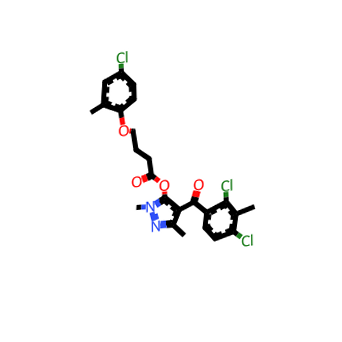 Cc1cc(Cl)ccc1OCCCC(=O)Oc1c(C(=O)c2ccc(Cl)c(C)c2Cl)c(C)nn1C